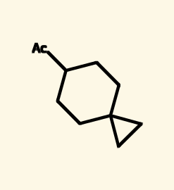 CC(=O)C1CCC2(CC1)CC2